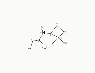 CCC(O)N(C)C1CCC1(C)C